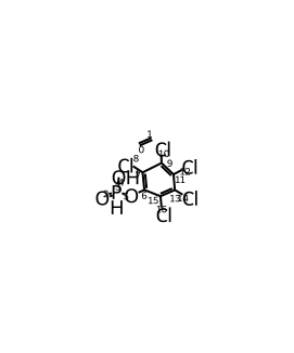 C=C.O=[PH](O)Oc1c(Cl)c(Cl)c(Cl)c(Cl)c1Cl